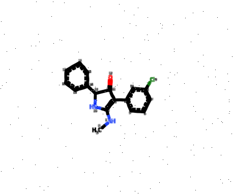 CNC1=C(c2cccc(Cl)c2)C(=O)C(c2ccccc2)N1